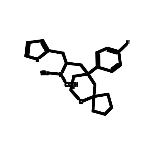 CC(C)(C)N(C(=O)O)C(Cc1cccs1)CC1(c2ccc(F)cc2)CCOC2(CCCC2)C1